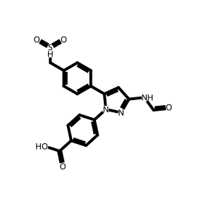 O=CNc1cc(-c2ccc(C[SH](=O)=O)cc2)n(-c2ccc(C(=O)O)cc2)n1